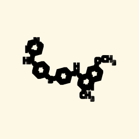 COc1ccc2nc(C)cc(Nc3ccc(Sc4ccc(Nc5ccncn5)cc4)cc3)c2c1